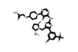 C[C@@H]1CC[C@@H](N)N1Cc1sc(Nc2ncnc(N3CCC(OCC(=O)O)CC3)c2F)nc1-c1cc(Cl)cc(C(F)(F)F)c1